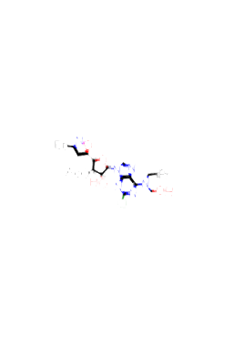 CCc1cc([C@H]2O[C@@H](n3cnc4c(N(CO)CC(C)C)nc(Cl)nc43)[C@H](O)[C@@H]2OC(C)=O)on1